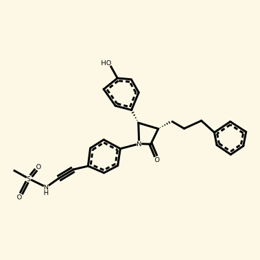 CS(=O)(=O)NC#Cc1ccc(N2C(=O)[C@@H](CCCc3ccccc3)[C@H]2c2ccc(O)cc2)cc1